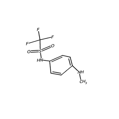 CNc1ccc(NS(=O)(=O)C(F)(F)F)cc1